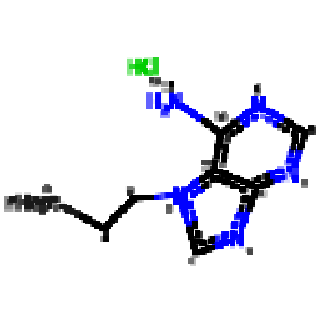 CCCCCCCCCn1cnc2ncnc(N)c21.Cl